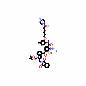 COc1c(C(=O)c2cccc3c2cc(CN2C(=O)c4ccccc4C2=O)n3C(=O)OC(C)(C)C)ccc(C(=O)N(C)c2ccc(C)cc2OCCCCCC(=O)N2CCN(C)CC2)c1N